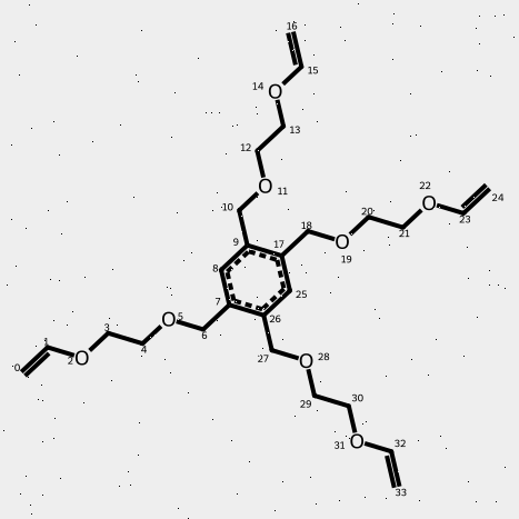 C=COCCOCc1cc(COCCOC=C)c(COCCOC=C)cc1COCCOC=C